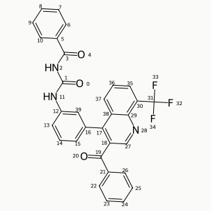 O=C(NC(=O)c1ccccc1)Nc1cccc(-c2c(C(=O)c3ccccc3)cnc3c(C(F)(F)F)cccc23)c1